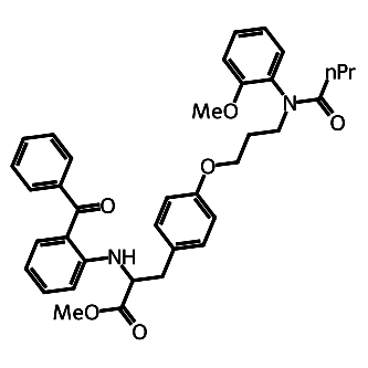 CCCC(=O)N(CCCOc1ccc(CC(Nc2ccccc2C(=O)c2ccccc2)C(=O)OC)cc1)c1ccccc1OC